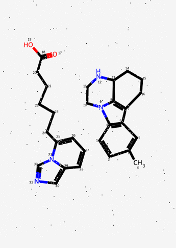 Cc1ccc2c(c1)c1c3n2CCNC3CCC1.O=C(O)CCCCCc1cccc2cncn12